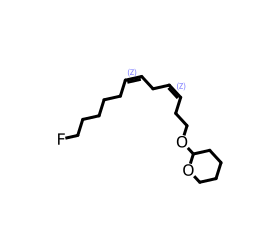 FCCCCC/C=C\C/C=C\CCOC1CCCCO1